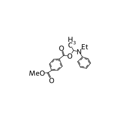 CCN(c1ccccc1)C(C)OC(=O)c1ccc(C(=O)OC)cc1